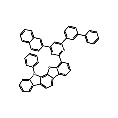 c1ccc(-c2cccc(-c3cc(-c4ccc5ccccc5c4)nc(-c4cccc5c4oc4c5ccc5c6ccccc6n(-c6ccccc6)c54)n3)c2)cc1